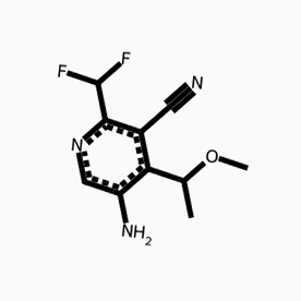 COC(C)c1c(N)cnc(C(F)F)c1C#N